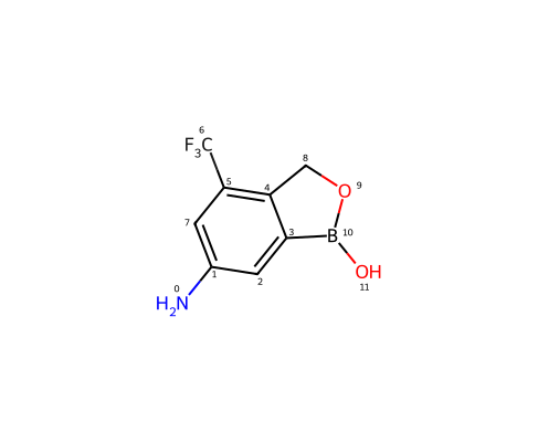 Nc1cc2c(c(C(F)(F)F)c1)COB2O